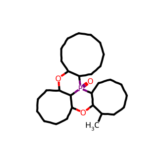 CC1CCCCCCC2C1OC1CCCCCCC3OC4CCCCCCCCCC4P2(=O)C31